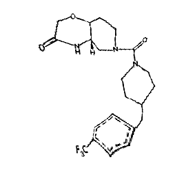 O=C1COC2CCN(C(=O)N3CCC(Cc4ccc(C(F)(F)F)cc4)CC3)C[C@@H]2N1